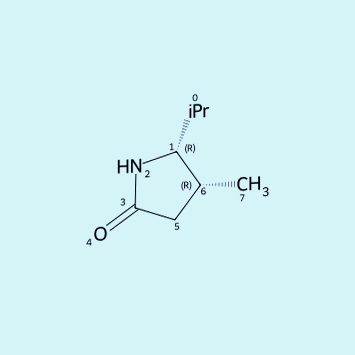 CC(C)[C@H]1NC(=O)C[C@H]1C